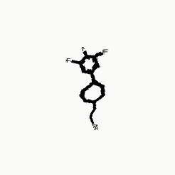 Fc1cc(C2CCC(CCBr)CC2)cc(F)c1F